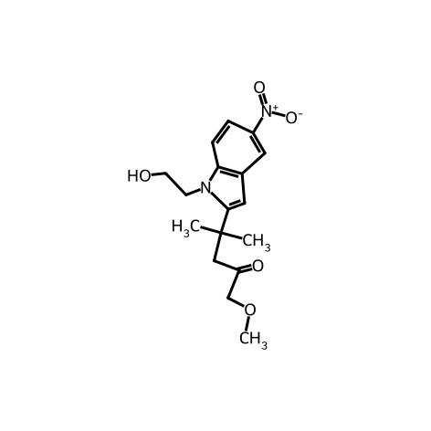 COCC(=O)CC(C)(C)c1cc2cc([N+](=O)[O-])ccc2n1CCO